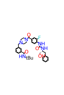 CC(C)(C)NC(=O)c1cccc(CN2CCN(C(=O)c3ccc(NC(=O)N[C@@H](CO)Cc4ccccc4)c(F)c3)CC2)c1